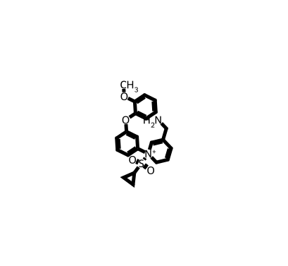 COc1ccccc1Oc1cccc([N+]2(S(=O)(=O)C3CC3)C=C(CN)C=CC2)c1